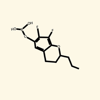 CCCC1CCc2cc(OB(O)O)c(F)c(F)c2O1